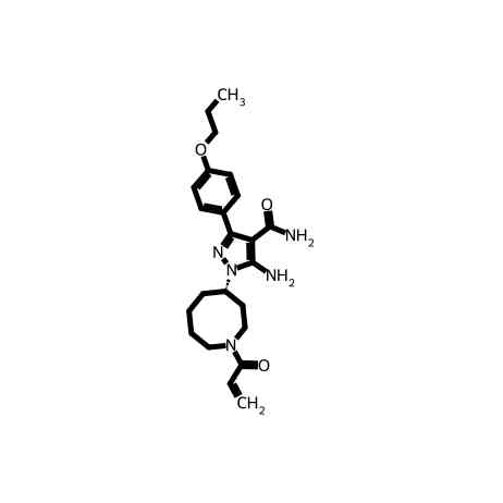 C=CC(=O)N1CCCC[C@H](n2nc(-c3ccc(OCCC)cc3)c(C(N)=O)c2N)CC1